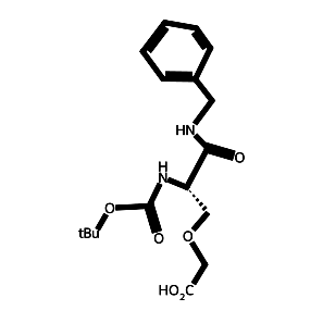 CC(C)(C)OC(=O)N[C@@H](COCC(=O)O)C(=O)NCc1ccccc1